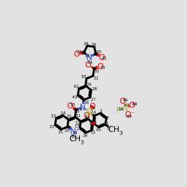 Cc1ccc(S(=O)(=O)N(C(=O)c2c3ccccc3[n+](C)c3ccccc23)c2ccc(CCC(=O)ON3C(=O)CCC3=O)cc2)cc1.O=S(=O)([O-])F